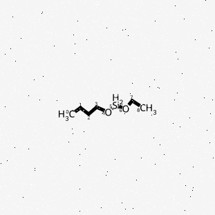 CCCCO[SiH2]OCC